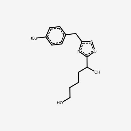 CC(C)(C)c1ccc(Cc2noc(C(O)CCCCO)n2)cc1